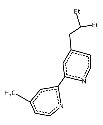 CCC(CC)Cc1ccnc(-c2cc(C)ccn2)c1